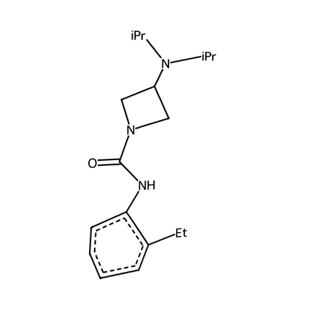 CCc1ccccc1NC(=O)N1CC(N(C(C)C)C(C)C)C1